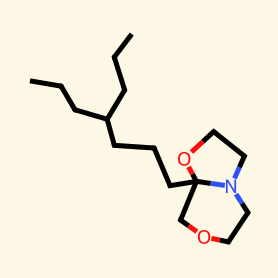 CCCC(CCC)CCCC12COCCN1CCO2